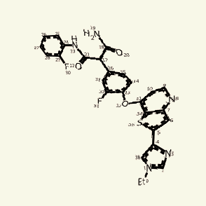 CCn1cnc(-c2cc3nccc(Oc4ccc(C(C(N)=O)C(=O)Nc5ccccc5F)cc4F)c3s2)c1